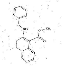 COC(=O)C1=C(NCc2ccccc2)CCc2ccccc21